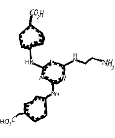 NCCNc1nc(Nc2ccc(C(=O)O)cc2)nc(Nc2ccc(C(=O)O)cc2)n1